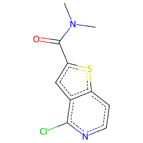 CN(C)C(=O)c1cc2c(Cl)nccc2s1